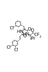 CC(C)[C@H](NC(=O)[C@H](Cc1cccc(Cl)c1)NC(=O)C=Cc1ccc(Cl)c(Cl)c1)C(=O)C(F)(F)F